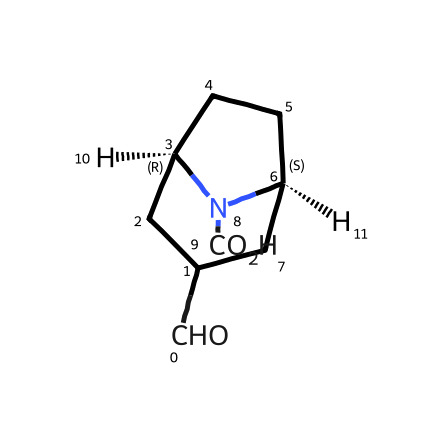 O=CC1C[C@H]2CC[C@@H](C1)N2C(=O)O